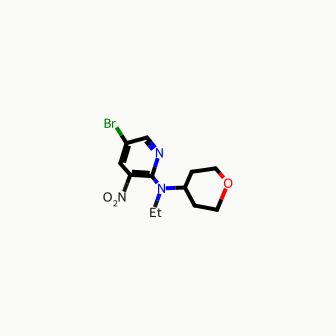 CCN(c1ncc(Br)cc1[N+](=O)[O-])C1CCOCC1